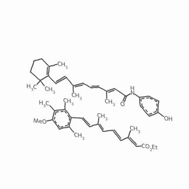 CC1=C(/C=C/C(C)=C/C=C/C(C)=C/C(=O)Nc2ccc(O)cc2)C(C)(C)CCC1.CCOC(=O)/C=C(C)/C=C/C=C(C)/C=C/c1c(C)cc(OC)c(C)c1C